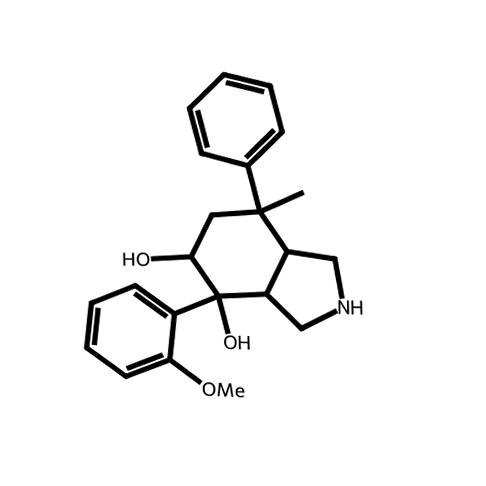 COc1ccccc1C1(O)C(O)CC(C)(c2ccccc2)C2CNCC21